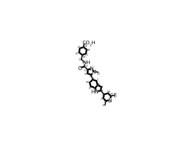 Cc1cc(-c2cc3cc(-c4cc(C(=O)NCc5ccc(C(=O)O)cc5)nn4C)ccc3[nH]2)cc(F)n1